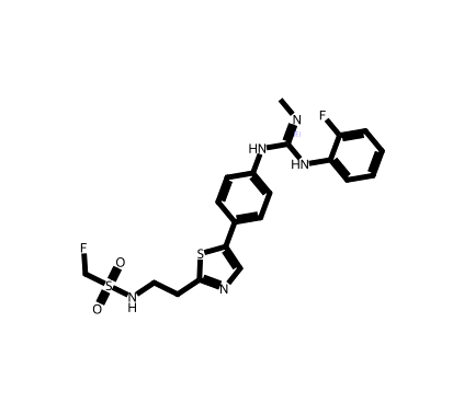 C/N=C(\Nc1ccc(-c2cnc(CCNS(=O)(=O)CF)s2)cc1)Nc1ccccc1F